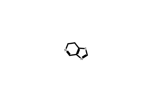 C1=NCCc2scnc21